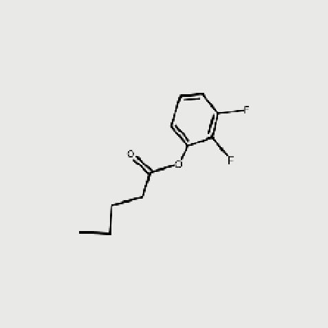 CCCCC(=O)Oc1cccc(F)c1F